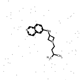 CC(C)CCN1CC(Nc2ccc3cnccc3c2)C1